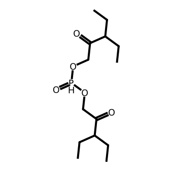 CCC(CC)C(=O)CO[PH](=O)OCC(=O)C(CC)CC